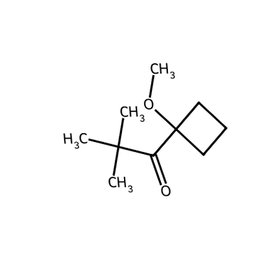 COC1(C(=O)C(C)(C)C)CCC1